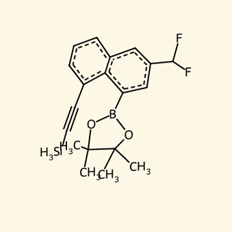 CC1(C)OB(c2cc(C(F)F)cc3cccc(C#C[SiH3])c23)OC1(C)C